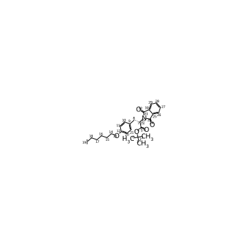 CC(C)(C)OC(=O)[C@H](Cc1ccc(OCCCCCI)cc1)N1C(=O)c2ccccc2C1=O